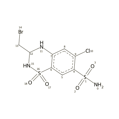 NS(=O)(=O)c1cc2c(cc1Cl)NC(CBr)NS2(=O)=O